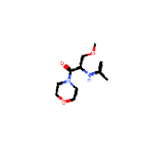 COCC(NC(C)C)C(=O)N1CCOCC1